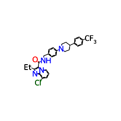 CCc1nc2c(Cl)cccn2c1C(=O)NCc1ccc(N2CCC(c3ccc(C(F)(F)F)cc3)CC2)cc1